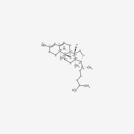 CC(C)CCC[C@@H](C)[C@H]1CC[C@H]2[C@@H]3CC=C4C=C(O)CC[C@]4(C)[C@H]3CC[C@]12C